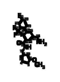 COc1ccnc(CNC(=O)c2cc(CN)cc(-c3ccc(F)cc3C(F)(F)F)c2)c1